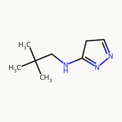 CC(C)(C)CNC1=NN=CC1